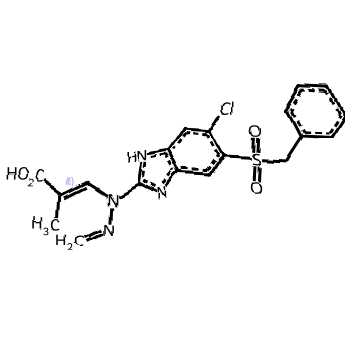 C=NN(/C=C(\C)C(=O)O)c1nc2cc(S(=O)(=O)Cc3ccccc3)c(Cl)cc2[nH]1